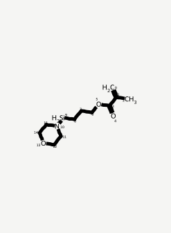 C=C(C)C(=O)OCCC[SiH2]N1CCOCC1